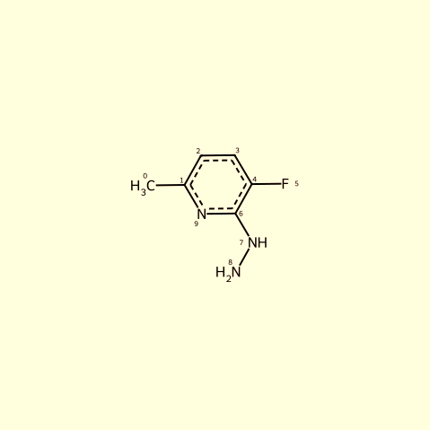 Cc1ccc(F)c(NN)n1